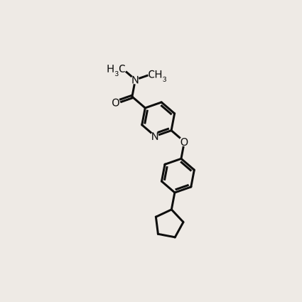 CN(C)C(=O)c1ccc(Oc2ccc(C3CCCC3)cc2)nc1